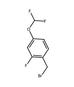 Fc1cc(OC(F)F)ccc1CBr